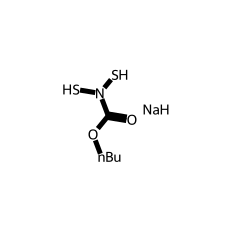 CCCCOC(=O)N(S)S.[NaH]